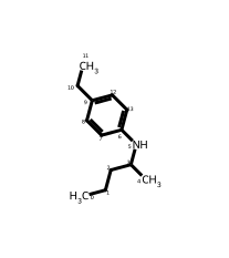 CCCC(C)Nc1ccc(CC)cc1